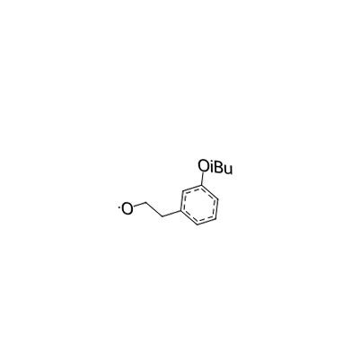 CC(C)COc1cccc(CC[O])c1